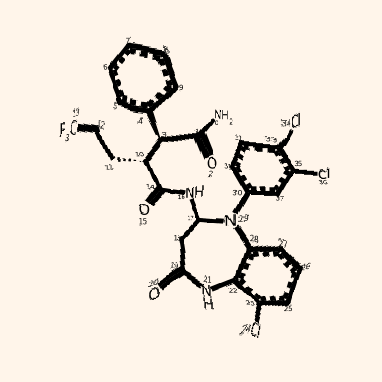 NC(=O)[C@H](c1ccccc1)[C@@H](CCC(F)(F)F)C(=O)NC1CC(=O)Nc2c(Cl)cccc2N1c1ccc(Cl)c(Cl)c1